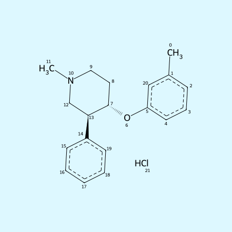 Cc1cccc(O[C@H]2CCN(C)C[C@@H]2c2ccccc2)c1.Cl